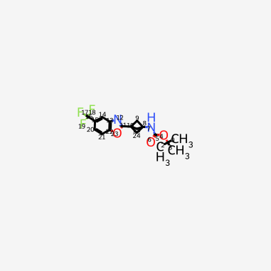 CC(C)(C)OC(=O)NC12CC(c3nc4cc(C(F)(F)F)ccc4o3)(C1)C2